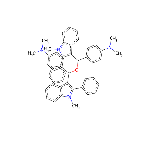 CN(C)c1ccc(C(OC(c2ccc(N(C)C)cc2)c2c(-c3ccccc3)n(C)c3ccccc23)c2c(-c3ccccc3)n(C)c3ccccc23)cc1